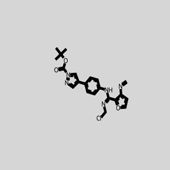 C=Nc1ccoc1/C(=N\CCl)Nc1ccc(-c2cnn(C(=O)OC(C)(C)C)c2)cc1